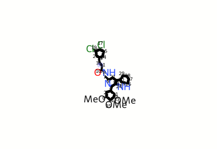 COc1cc(-c2nc(CNC(=O)/C=C/c3ccc(Cl)c(Cl)c3)cc3c2[nH]c2ccccc23)cc(OC)c1OC